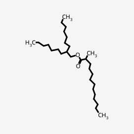 CCCCCCCCCCCC(C)C(=O)OCC(CCCCCCC)CCCCCCC